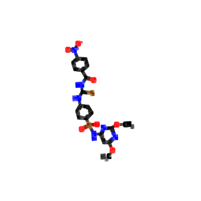 COc1cc(NS(=O)(=O)c2ccc(NC(=S)NC(=O)c3ccc([N+](=O)[O-])cc3)cc2)nc(OC)n1